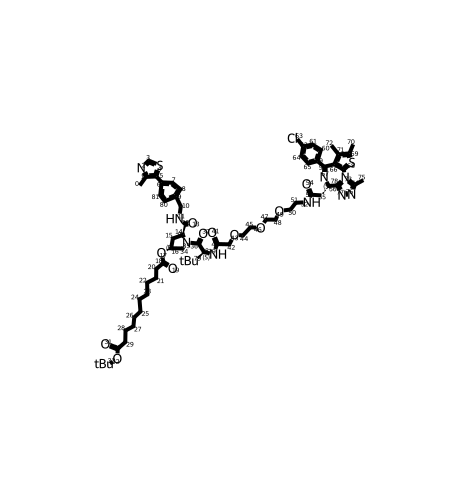 Cc1ncsc1-c1ccc(CNC(=O)[C@@H]2C[C@@H](OC(=O)CCCCCCCCCCC(=O)OC(C)(C)C)CN2C(=O)[C@@H](NC(=O)COCCOCCOCCNC(=O)C[C@@H]2N=C(c3ccc(Cl)cc3)c3c(sc(C)c3C)-n3c(C)nnc32)C(C)(C)C)cc1